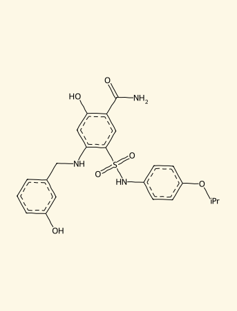 CC(C)Oc1ccc(NS(=O)(=O)c2cc(C(N)=O)c(O)cc2NCc2cccc(O)c2)cc1